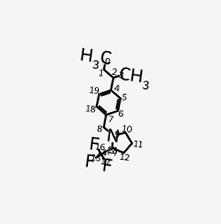 CCC(C)c1ccc(CN2CCC[C@H]2C(F)(F)F)cc1